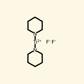 C1CC[N]([Ti+2][N]2CCCCC2)CC1.[F-].[F-]